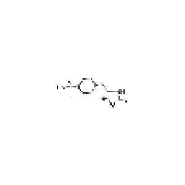 CC1NC(CN2CCN(C(C)(C)S)CC2)NO1